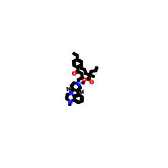 CCCC(C)(CCC)C(=O)OC[N+]1(CCCC(=O)c2ccc(CC)cc2)CC[C@H]2[C@@H](C1)c1cccc3c1N2CCN3C